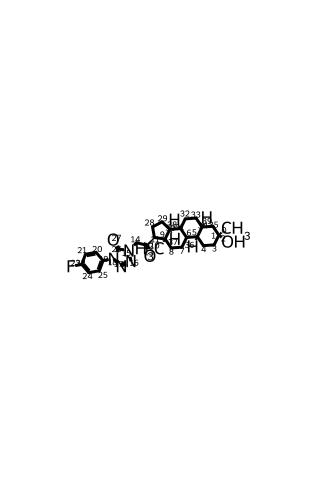 C[C@@]1(O)CC[C@@H]2C3CC[C@]4(C)[C@@H](C(=O)Cn5nnn(-c6ccc(F)cc6)c5=O)CC[C@H]4[C@@H]3CC[C@@H]2C1